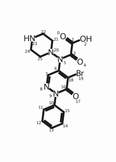 O=C(O)C(=O)N(c1cnn(-c2ccccc2)c(=O)c1Br)N1CCNCC1